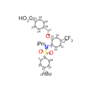 CCCCc1ccc(S(=O)(=O)N(c2ccc(C(F)(F)F)cc2OCc2ccc(C(=O)O)cc2)C(C)C)cc1